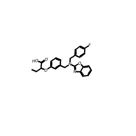 CCC(Oc1cccc(CN(Cc2ccc(F)cc2)c2nc3ccccc3o2)c1)C(=O)O